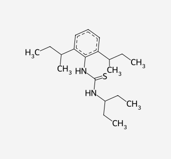 CCC(CC)NC(=S)Nc1c(C(C)CC)cccc1C(C)CC